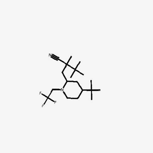 CC(C)(C)C1CCN(CC(F)(F)F)C(CC(C)(C#N)C(C)(C)C)C1